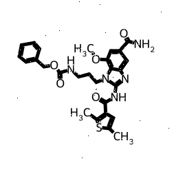 COc1cc(C(N)=O)cc2nc(NC(=O)c3cc(C)sc3C)n(CCCNC(=O)OCc3ccccc3)c12